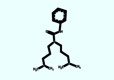 CN(C)CCCN(CCCN(C)C)C(=O)Nc1ccccc1